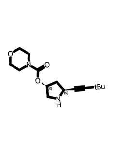 CC(C)(C)C#C[C@@H]1C[C@@H](OC(=O)N2CCOCC2)CN1